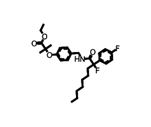 CCCCCCCC(F)(C(=O)NCc1ccc(OC(C)(C)C(=O)OCC)cc1)c1ccc(F)cc1